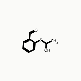 CC(O)Sc1ccccc1C=O